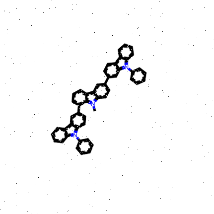 Cn1c2ccc(-c3ccc4c5ccccc5n(-c5ccccc5)c4c3)cc2c2cccc(-c3ccc4c(c3)c3ccccc3n4-c3ccccc3)c21